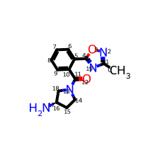 Cc1noc(-c2ccccc2C(=O)N2CC[C@@H](N)C2)n1